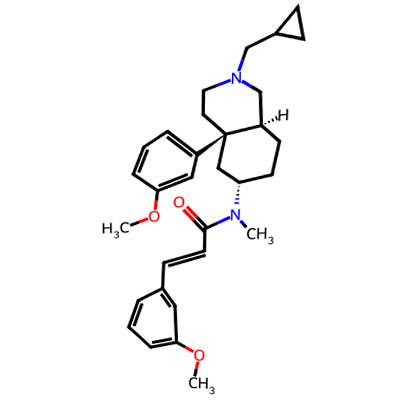 COc1cccc(C=CC(=O)N(C)[C@H]2CC[C@@H]3CN(CC4CC4)CC[C@@]3(c3cccc(OC)c3)C2)c1